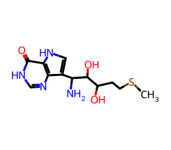 CSCCC(O)C(O)C(N)c1c[nH]c2c(=O)[nH]cnc12